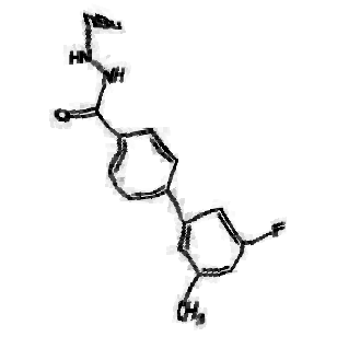 CCCCNNC(=O)c1ccc(-c2cc(C)cc(F)c2)cc1